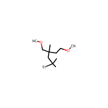 CCC(C)(C)CC(C)(CCOC#N)COC#N